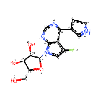 OC[C@H]1O[C@@H](n2cc(F)c3c(-c4cc[nH]c4)ncnc32)[C@H](O)[C@@H]1O